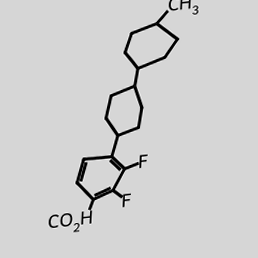 CC1CCC(C2CCC(c3ccc(C(=O)O)c(F)c3F)CC2)CC1